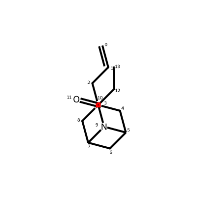 C=CCN1CC2CC(C1)N2C(=O)CC